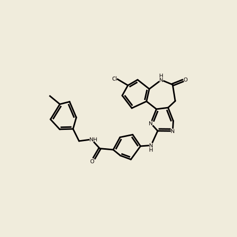 Cc1ccc(CNC(=O)c2ccc(Nc3ncc4c(n3)-c3ccc(Cl)cc3NC(=O)C4)cc2)cc1